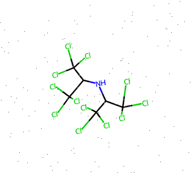 ClC(Cl)(Cl)C(NC(C(Cl)(Cl)Cl)C(Cl)(Cl)Cl)C(Cl)(Cl)Cl